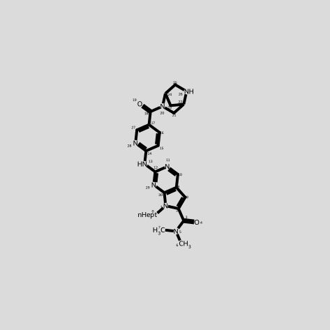 CCCCCCCn1c(C(=O)N(C)C)cc2cnc(Nc3ccc(C(=O)N4CC5CC4CN5)cn3)nc21